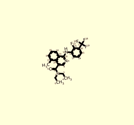 CCN(CC)C(=O)c1cnc(Nc2cccc(C(F)(F)F)c2F)c2cccc(C)c12